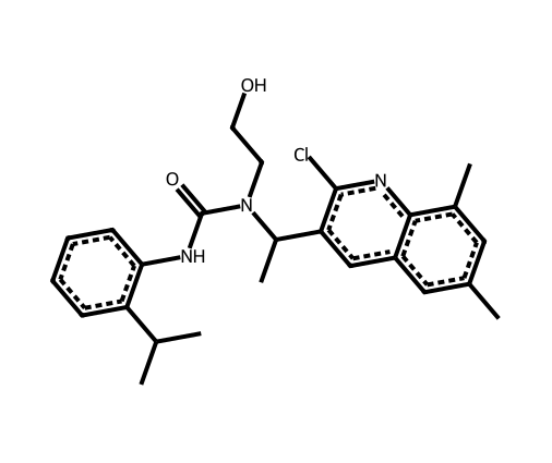 Cc1cc(C)c2nc(Cl)c(C(C)N(CCO)C(=O)Nc3ccccc3C(C)C)cc2c1